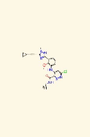 [2H]CNC(=O)c1nnc(Cl)cc1Nc1cccc(-c2nc(C#CC3CC3)n(C)n2)c1OC